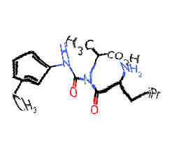 Cc1cccc(NC(=O)N(C(=O)C(N)CC(C)C)C(C)C(=O)O)c1